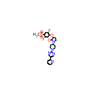 CS(=O)(=O)c1cc(F)c(OC2CCN(C3CCN(c4ncc(-c5ccccn5)cn4)CC3)C2=O)cc1F